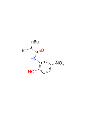 CCCCC(CC)C(=O)Nc1cc([N+](=O)[O-])ccc1O